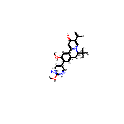 C=C(C)c1cn2c(cc1=O)-c1cc(OC)c(C(/C=N\C(=N)OC)=C/C)cc1CC2C(C)(C)C